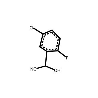 N#CC(O)c1cc(Cl)ccc1F